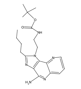 CCCCc1nc2c(N)nc3cccnc3c2n1CCNC(=O)OC(C)(C)C